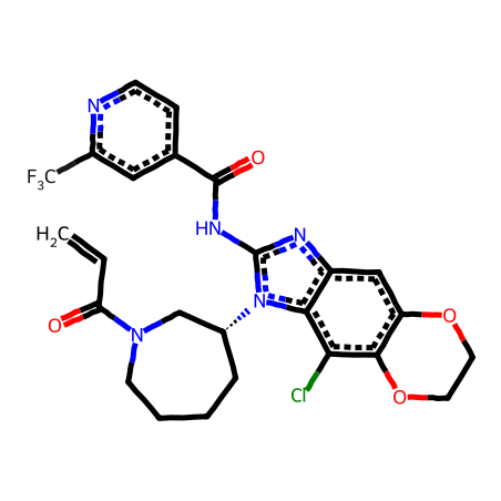 C=CC(=O)N1CCCC[C@@H](n2c(NC(=O)c3ccnc(C(F)(F)F)c3)nc3cc4c(c(Cl)c32)OCCO4)C1